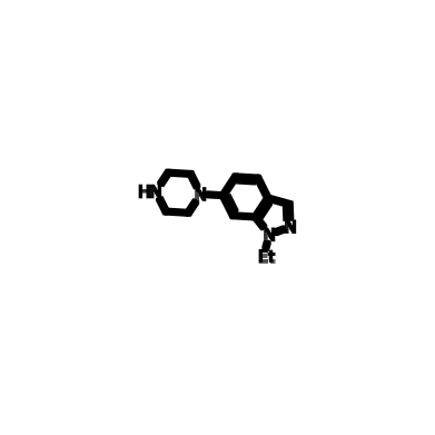 CCn1ncc2ccc(N3CCNCC3)cc21